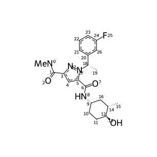 CNC(=O)c1cc(C(=O)N[C@H]2CC[C@H](O)[C@@H](C)C2)n([C@@H](C)c2cccc(F)c2)n1